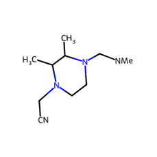 CNCN1CCN(CC#N)C(C)C1C